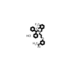 CC(=O)N(C)c1cccc(OCCCN(Cc2cccc(C(F)(F)F)c2Cl)CC(c2ccccc2)c2ccccc2)c1.Cl